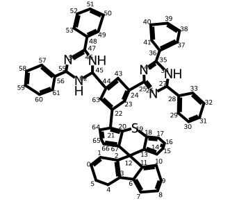 C1=CC2=C(CC1)c1ccccc1C21c2ccccc2Sc2c(-c3cc(C4=NC(c5ccccc5)NC(c5ccccc5)=N4)cc(C4NC(c5ccccc5)=NC(c5ccccc5)N4)c3)cccc21